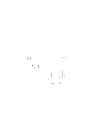 CC(CCC(=O)O)Cc1ccc(C(=O)Oc2ccc(C(=N)N)cc2)o1.O=C(O)C(F)(F)F